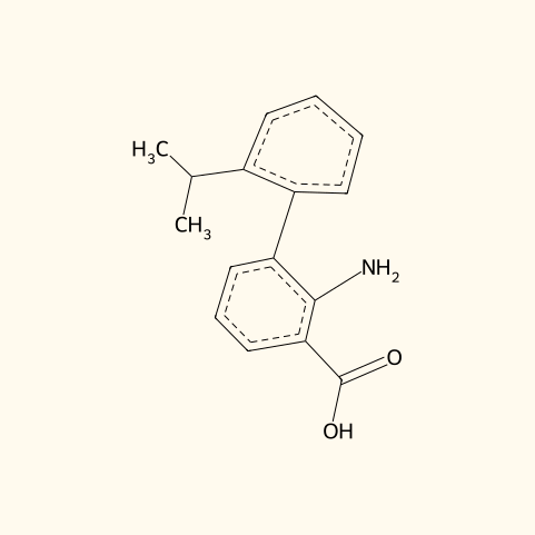 CC(C)c1ccccc1-c1cccc(C(=O)O)c1N